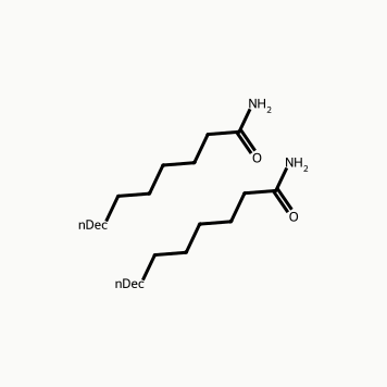 CCCCCCCCCCCCCCCC(N)=O.CCCCCCCCCCCCCCCC(N)=O